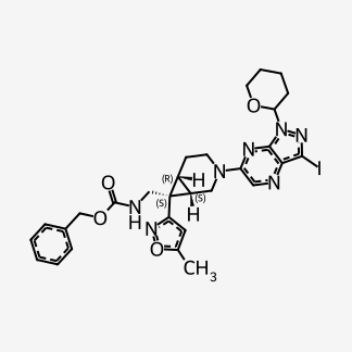 Cc1cc([C@@]2(CNC(=O)OCc3ccccc3)[C@@H]3CCN(c4cnc5c(I)nn(C6CCCCO6)c5n4)C[C@@H]32)no1